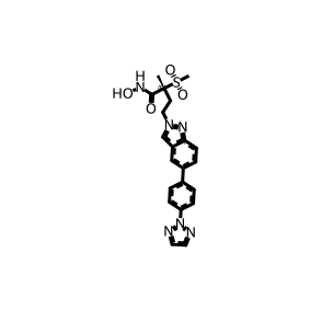 C[C@@](CCn1cc2cc(-c3ccc(-n4nccn4)cc3)ccc2n1)(C(=O)NO)S(C)(=O)=O